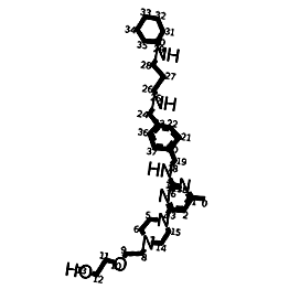 Cc1cc(N2CCN(CCOCCO)CC2)nc(NCc2ccc(CNCCCNC3CCCCC3)cc2)n1